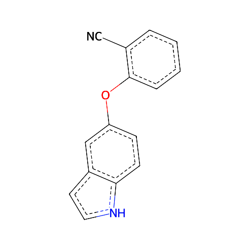 N#Cc1ccccc1Oc1ccc2[nH]ccc2c1